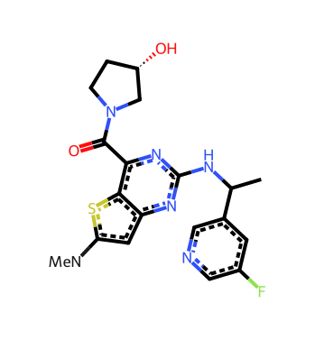 CNc1cc2nc(NC(C)c3cncc(F)c3)nc(C(=O)N3CC[C@H](O)C3)c2s1